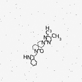 Cc1cnc(N2CCC3(CCCN(Cc4c[nH]c5ccccc45)C3=O)CC2)nc1C